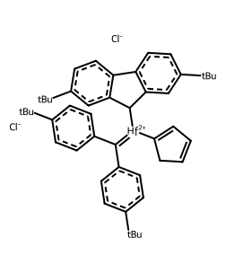 CC(C)(C)c1ccc([C](c2ccc(C(C)(C)C)cc2)=[Hf+2]([C]2=CC=CC2)[CH]2c3cc(C(C)(C)C)ccc3-c3ccc(C(C)(C)C)cc32)cc1.[Cl-].[Cl-]